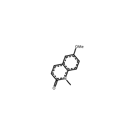 COc1ccc2c(ccc(=O)n2C)c1